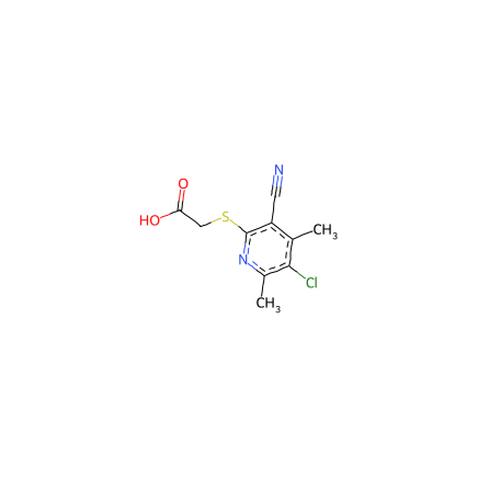 Cc1nc(SCC(=O)O)c(C#N)c(C)c1Cl